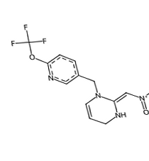 O=[N+]([O-])C=C1NCC=CN1Cc1ccc(OC(F)(F)F)nc1